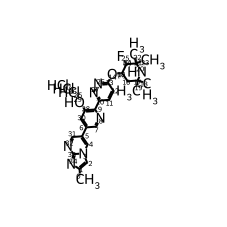 Cc1cn2cc(-c3cnc(-c4ccc(O[C@@H]5CC(C)(C)NC(C)(C)[C@@H]5F)nn4)c(O)c3)cnc2n1.Cl.Cl.Cl